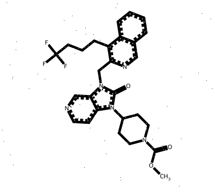 COC(=O)N1CCC(n2c(=O)n(Cc3ncc4ccccc4c3CCCC(F)(F)F)c3cnccc32)CC1